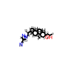 CCC[C@@]1(O)CC[C@@]2(CC)[C@H](CC[C@H]3[C@@H]4CC[C@H]([C@H](C)Cn5cc(C#N)cn5)[C@@]4(C)CC[C@@H]32)C1